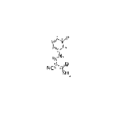 N#CC(N=Nc1cccc(I)c1)C(N)=O